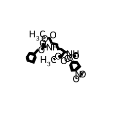 COC(=O)C(CCCC(NS(=O)(=O)c1ccc([N+](=O)[O-])cc1)C(=O)OC)NC(=O)OCc1ccccc1